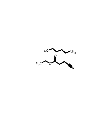 CCCCCC.CCOC(=O)CCC#N